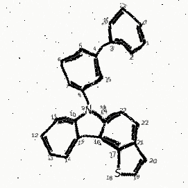 c1ccc(-c2cccc(-n3c4ccccc4c4c5sccc5ccc43)c2)cc1